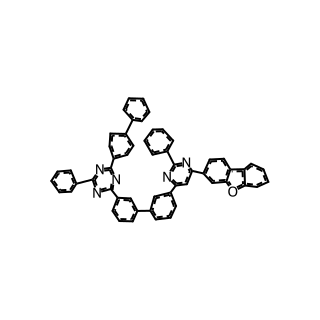 c1ccc(-c2ccc(-c3nc(-c4ccccc4)nc(-c4cccc(-c5cccc(-c6cc(-c7ccc8c(c7)oc7ccccc78)nc(-c7ccccc7)n6)c5)c4)n3)cc2)cc1